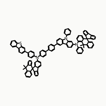 CC1(C)c2ccccc2C2(c3ccccc3-c3ccc(N(c4ccc(-c5ccc(-c6ccc7c(c6)c6ccc(N(c8ccccc8)c8cccc9c8C(C)(C)c8ccccc8C98c9ccccc9-c9ccccc98)cc6n7-c6ccccc6)cc5)cc4)c4ccc(-c5ccc6c(c5)sc5ccccc56)cc4)cc32)c2ccccc21